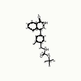 Cc1cc(-c2n[nH]c(=O)c3ccccc23)ccc1CNC(=O)OC(C)(C)C